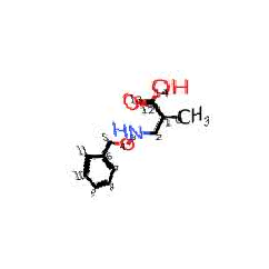 C[C@@H](CNOCc1ccccc1)C(=O)O